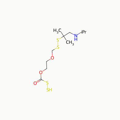 CC(C)NCC(C)(C)SSCOCCOC(=O)SS